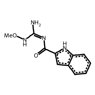 CONC(N)=NC(=O)c1cc2ccccc2[nH]1